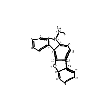 CNn1c2ccccc2c2c3oc4ccccc4c3ccc21